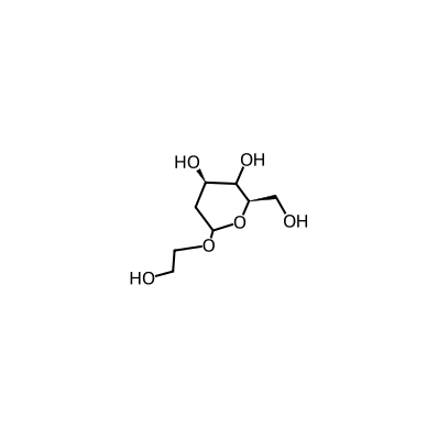 OCCOC1C[C@@H](O)C(O)[C@@H](CO)O1